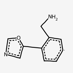 NCc1c[c]ccc1-c1cnco1